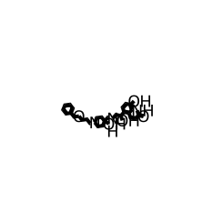 O=c1ccc2c(C(O)CNCC3(O)CCN(CCCOCc4ccccc4)CC3)ccc(O)c2[nH]1